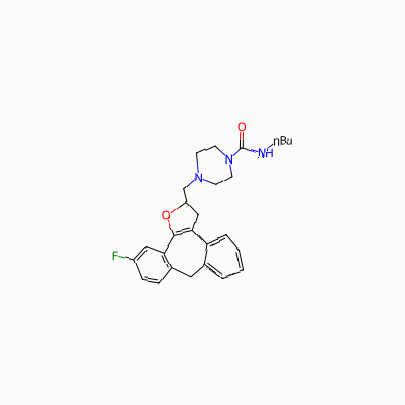 CCCCNC(=O)N1CCN(CC2CC3=C(O2)c2cc(F)ccc2Cc2ccccc23)CC1